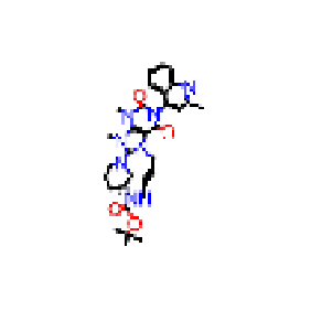 CC#CCN1c2c(n(C)c(=O)n(-c3cc(C)nc4ccccc34)c2=O)N(C)C1N1CCC[C@@H](NC(=O)OC(C)(C)C)C1